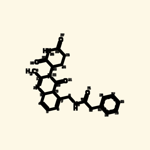 CC1=NC2C=CC=C(CNC(=O)Cc3ccccc3)C2C(=O)N1C1CCC(=O)NC1=O